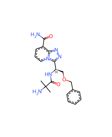 CC(C)(N)C(=O)N[C@H](COCc1ccccc1)c1nnc2c(C(N)=O)cccn12